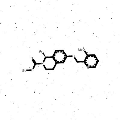 COc1cccnc1COc1ccc2c(c1)CCN(C(=O)OC(C)(C)C)[C@H]2C(C)C